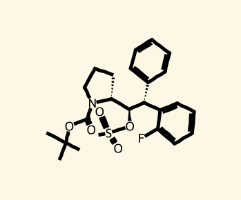 CC(C)(C)OC(=O)N1CCC[C@@H]1[C@H](OS(C)(=O)=O)[C@H](c1ccccc1)c1ccccc1F